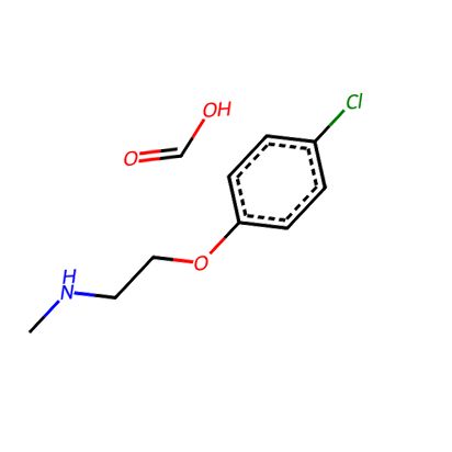 CNCCOc1ccc(Cl)cc1.O=CO